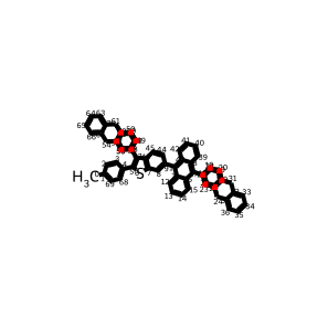 Cc1ccc(-c2sc3cc(-c4c5ccccc5c(-c5ccc6c(c5)C5c7ccccc7C6c6ccccc65)c5ccccc45)ccc3c2-c2ccc3c(c2)C2c4ccccc4C3c3ccccc32)cc1